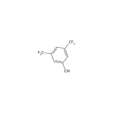 [CH]c1cc(C(F)(F)F)cc(C(F)(F)F)c1